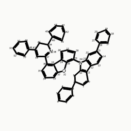 C1=CC(c2ccccc2)Cc2c1c1ccc(-c3ccccc3)cc1n2-c1cccc2c1oc1cccc(C3=NC(c4ccccc4)CC(c4ccccc4)=C3)c12